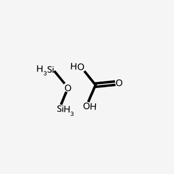 O=C(O)O.[SiH3]O[SiH3]